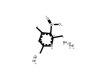 B.Cc1cc(C)c([N+](=O)[O-])c(C)n1.F.F.F.F